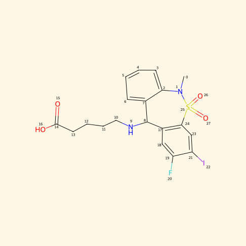 CN1c2ccccc2C(NCCCCC(=O)O)c2cc(F)c(I)cc2S1(=O)=O